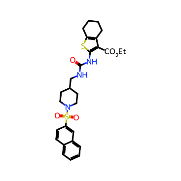 CCOC(=O)c1c(NC(=O)NCC2CCN(S(=O)(=O)c3ccc4ccccc4c3)CC2)sc2c1CCCC2